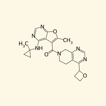 Cc1oc2ncnc(NC3(C)CC3)c2c1C(=O)N1CCc2c(ncnc2C2CCO2)C1